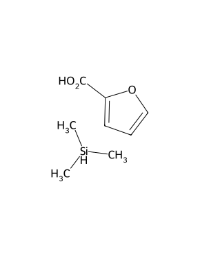 C[SiH](C)C.O=C(O)c1ccco1